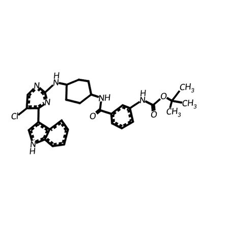 CC(C)(C)OC(=O)Nc1cccc(C(=O)NC2CCC(Nc3ncc(Cl)c(-c4c[nH]c5ccccc45)n3)CC2)c1